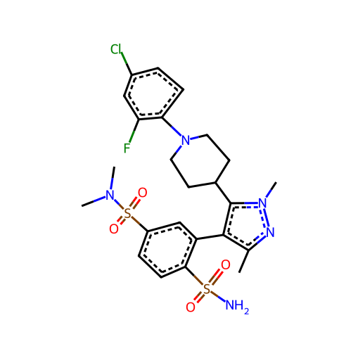 Cc1nn(C)c(C2CCN(c3ccc(Cl)cc3F)CC2)c1-c1cc(S(=O)(=O)N(C)C)ccc1S(N)(=O)=O